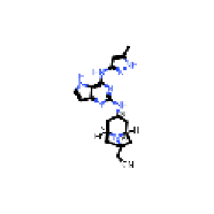 Cc1cc(Nc2nc(N[C@H]3C[C@@H]4CC5(CC#N)C[C@H](C3)N45)nc3cc[nH]c23)n[nH]1